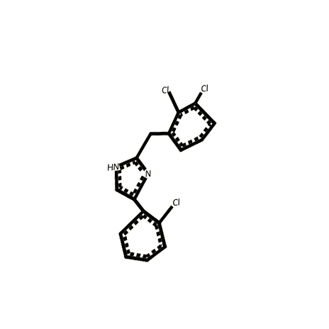 Clc1ccccc1-c1c[nH]c(Cc2cccc(Cl)c2Cl)n1